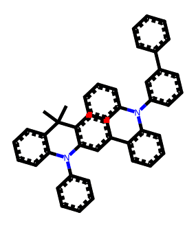 CC1(C)c2ccccc2N(c2ccccc2)c2cc(-c3ccccc3N(c3ccccc3)c3cccc(-c4ccccc4)c3)ccc21